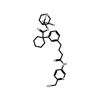 O=C(CCCc1cccc(C2(C(=O)O[C@H]3CN4CCC3CC4)CCCCC2)c1)Nc1ccc(CO)nc1